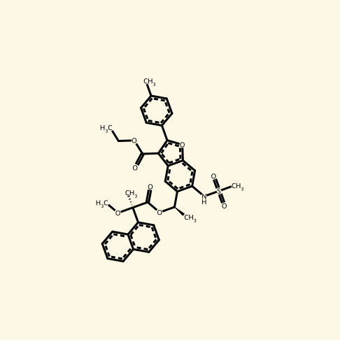 CCOC(=O)c1c(-c2ccc(C)cc2)oc2cc(NS(C)(=O)=O)c([C@@H](C)OC(=O)[C@](C)(OC)c3cccc4ccccc34)cc12